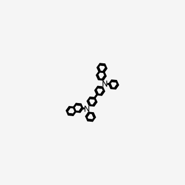 C1=CC2C=CC(N(c3ccccc3)c3ccc(-c4ccc(N(c5ccccc5)c5ccc6ccccc6c5)cc4)cc3)=CC2C=C1